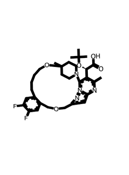 Cc1nc2cc3nn2c(c1[C@H](OC(C)(C)C)C(=O)O)N1CCC(C)(CC1)OCCCCc1cc(F)c(F)cc1COC3